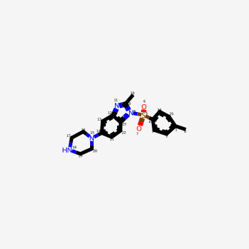 Cc1ccc(S(=O)(=O)n2c(C)nc3cc(N4CCNCC4)ccc32)cc1